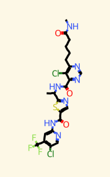 CNC(=O)CCCCc1ncnc(C(=O)NC(C)c2ncc(C(=O)Nc3cc(C(F)(F)F)c(Cl)cn3)s2)c1Cl